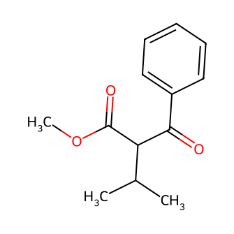 COC(=O)C(C(=O)c1ccccc1)C(C)C